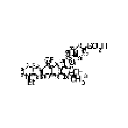 CCN1CCCc2cc3c(cc21)Oc1cc2c(cc1=C3C(F)(F)F)C(CS(=O)(=O)N1CCC(C(=O)O)CC1)=CC(C)(C)N=2